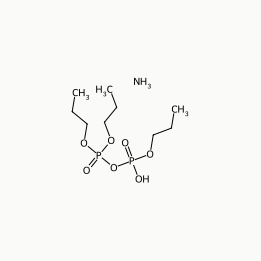 CCCOP(=O)(O)OP(=O)(OCCC)OCCC.N